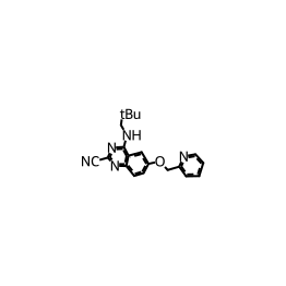 CC(C)(C)CNc1nc(C#N)nc2ccc(OCc3ccccn3)cc12